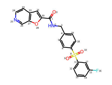 O=C(NCc1ccc(S(=O)(=O)c2cccc(F)c2)cc1)c1cc2ccncc2o1